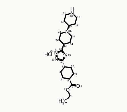 CCOC(=O)[C@H]1CC[C@H](c2nnc(C3CCN(C4CCNCC4)CC3)s2)CC1.Cl